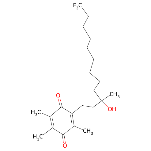 CC1=C(C)C(=O)C(CCC(C)(O)CCCCCCCCC(F)(F)F)=C(C)C1=O